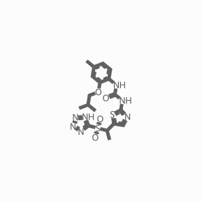 Cc1ccc(NC(=O)Nc2ncc(C(C)S(=O)(=O)c3nnn[nH]3)s2)c(OCC(C)C)c1